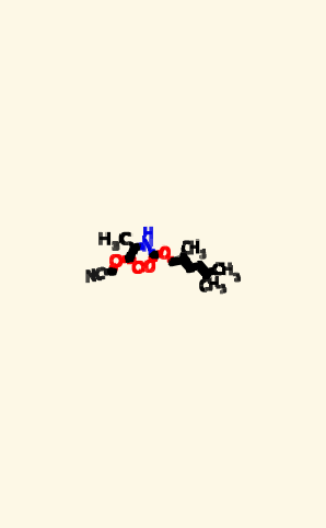 CC(C)=C/C=C(\C)COC(=O)N[C@@H](C)C(=O)OCC#N